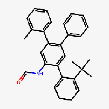 Cc1ccccc1-c1cc(NC=O)c(C2=CCCC=C2C(C)(C)C)cc1-c1ccccc1